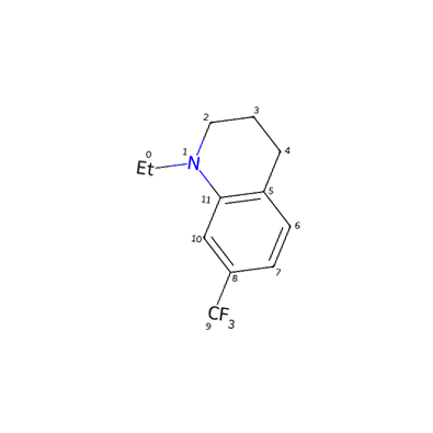 CCN1CCCc2ccc(C(F)(F)F)cc21